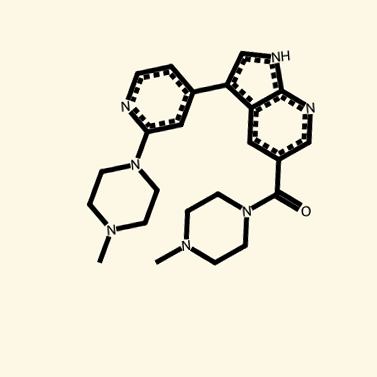 CN1CCN(C(=O)c2cnc3[nH]cc(-c4ccnc(N5CCN(C)CC5)c4)c3c2)CC1